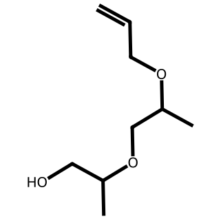 C=CCOC(C)COC(C)CO